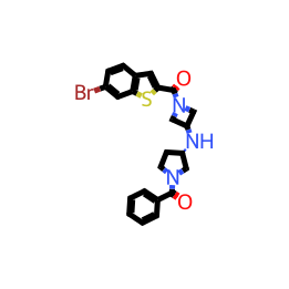 O=C(c1ccccc1)N1CC[C@H](NC2CN(C(=O)c3cc4ccc(Br)cc4s3)C2)C1